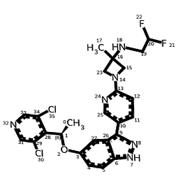 C[C@@H](Oc1ccc2[nH]nc(-c3ccc(N4CC(C)(NCC(F)F)C4)nc3)c2c1)c1c(Cl)cncc1Cl